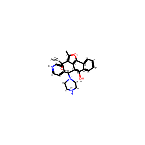 COC(=O)c1c(C)oc2c1c(C(c1ccncc1)N1CCNCC1)c(O)c1ccccc12